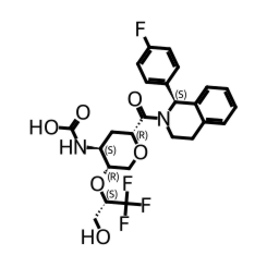 O=C(O)N[C@H]1C[C@H](C(=O)N2CCc3ccccc3[C@@H]2c2ccc(F)cc2)OC[C@@H]1O[C@@H](CO)C(F)(F)F